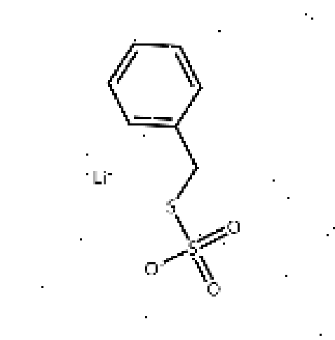 O=S(=O)([O-])SCc1ccccc1.[Li+]